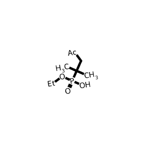 CCOP(=O)(O)C(C)(C)CC(C)=O